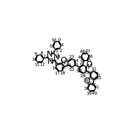 c1ccc(-c2nc(-c3ccccc3)nc(-c3cccc4c3oc3ccc(-c5ccc(-c6cccc7c6oc6ccccc67)c6oc7ccccc7c56)cc34)n2)cc1